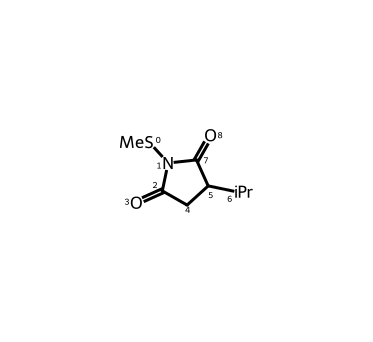 CSN1C(=O)CC(C(C)C)C1=O